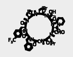 CC(C)C[C@@H]1C(=O)N(C)CC(=O)NC(Cc2ccccc2)C(=O)N[C@@H](Cc2ccc(C(F)(F)F)cc2)C(=O)N(C)[C@@H](CC(C)C)C(=O)N(C)[C@@H](CC(C)C)C(=O)N[C@@H]([C@@H](C)O)C(=O)N(C)[C@H](C(=O)N2CCCCC2)C(C=O)N1C